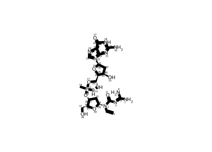 C=CN(C(=O)N=C(N)N)[C@H]1C[C@@H](O[PH](C)(BO)OC[C@H]2O[C@@H](n3cnc4c(=O)[nH]c(N)nc43)C[C@H]2O)[C@@H](CO)O1